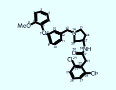 COc1ccccc1Oc1cccc(CN2CCC(NC(=O)Cc3c(Cl)cccc3Cl)C2)c1